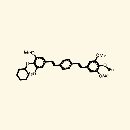 CCC(C)Oc1c(OC)cc(/C=C/c2ccc(/C=C/c3cc(OC)c(OC4CCCCC4)c(OC)c3)cc2)cc1OC